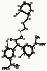 CCCN(CCC)c1ccc(C)c(C(C(=O)OCCCCc2ccccc2F)c2cc(N(CCC)CCC)ccc2C)c1